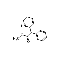 COC(=O)C(c1ccccc1)C1C=CCCN1